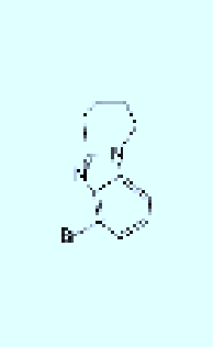 Brc1cccc2c1nc1n2CCCC1